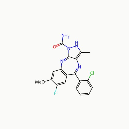 COc1cc2c(cc1F)C(c1ccccc1Cl)=NC1=C(C)NN(C(N)=O)C1=N2